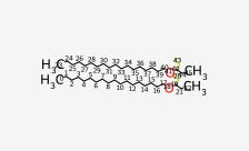 CCCCCCCCCCCCCCCCCCOC(=S)CC.CCCCCCCCCCCCCCCCCCOC(=S)CC